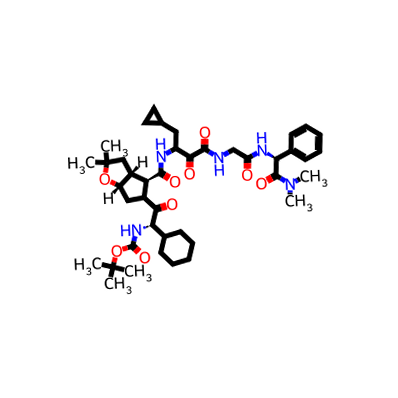 CN(C)C(=O)[C@@H](NC(=O)CNC(=O)C(=O)C(CC1CC1)NC(=O)[C@H]1C(C(=O)[C@@H](NC(=O)OC(C)(C)C)C2CCCCC2)C[C@@H]2OC(C)(C)C[C@@H]21)c1ccccc1